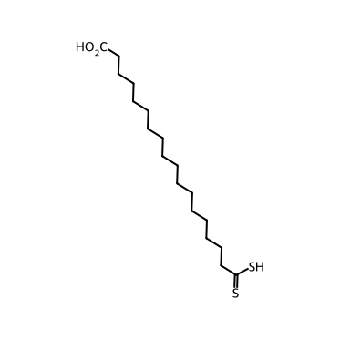 O=C(O)CCCCCCCCCCCCCCCCC(=S)S